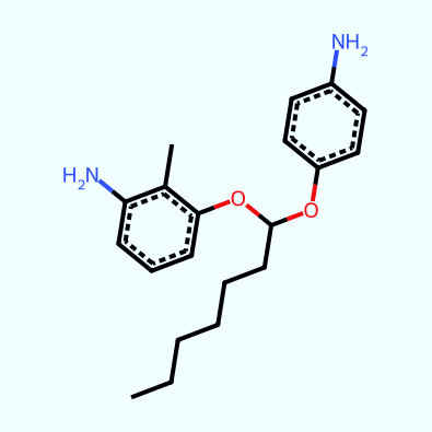 CCCCCCC(Oc1ccc(N)cc1)Oc1cccc(N)c1C